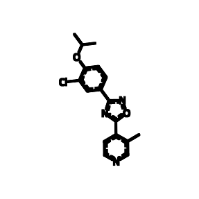 Cc1cnccc1-c1nc(-c2ccc(OC(C)C)c(Cl)c2)no1